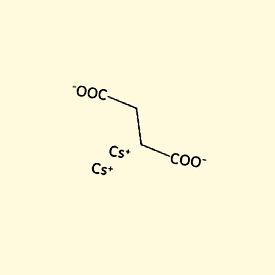 O=C([O-])CCC(=O)[O-].[Cs+].[Cs+]